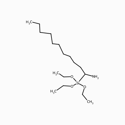 CCCCCCCCCCC(N)[Si](OCC)(OCC)OCC